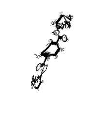 O=C(On1ccnn1)c1ccc(C(=O)On2ccnn2)cc1